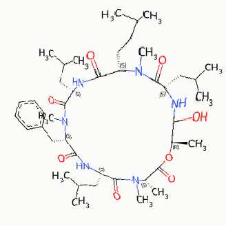 CC(C)CC[C@H]1C(=O)N[C@@H](CC(C)C)C(=O)N(C)[C@@H](Cc2ccccc2)C(=O)N[C@@H](CC(C)C)C(=O)N(C)[C@@H](C)C(=O)O[C@H](C)C(O)N[C@@H](CC(C)C)C(=O)N1C